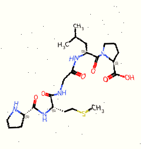 CSCC[C@H](NC(=O)[C@@H]1CCCN1)C(=O)NCC(=O)N[C@@H](CC(C)C)C(=O)N1CCC[C@H]1C(=O)O